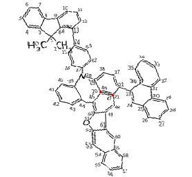 CC1(C)c2ccccc2-c2cccc(-c3ccc(N(c4ccc(-c5cc6ccccc6c6ccccc56)cc4)c4ccccc4-c4cccc5c4oc4cc6ccccc6cc45)cc3)c21